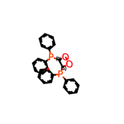 c1ccc(P(c2ccccc2)[C@@H]2OO[C@@H]2P(c2ccccc2)c2ccccc2)cc1